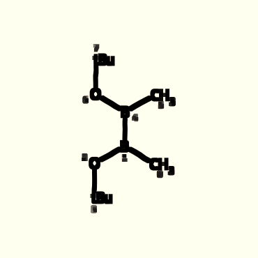 CB(OC(C)(C)C)B(C)OC(C)(C)C